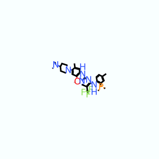 COc1cc(N2CCC(N(C)C)CC2)c(C)cc1Nc1ncc(C(F)(F)F)c(Nc2ccc(C)cc2P(C)C)n1